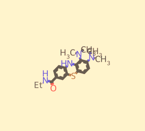 CCNC(=O)c1ccc2c(c1)Sc1ccc(N(C)C)c(N(C)C)c1N2